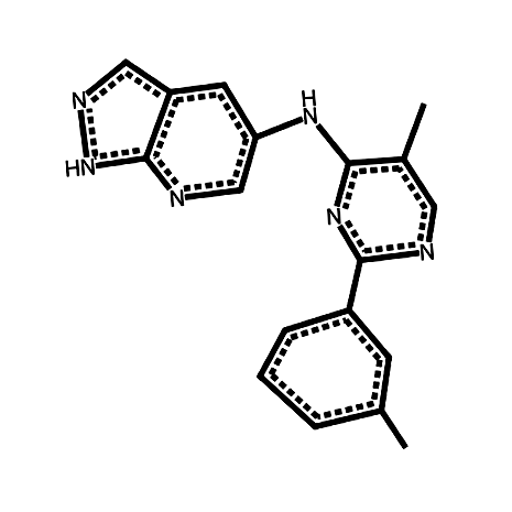 Cc1cccc(-c2ncc(C)c(Nc3cnc4[nH]ncc4c3)n2)c1